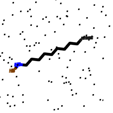 CCCCCCCCCCCCCCCCNS